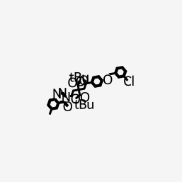 Cc1ccc2nnn(CCC(CC(=O)c3ccc(OCc4cccc(Cl)c4)cc3)(C(=O)OC(C)(C)C)C(=O)OC(C)(C)C)c(=O)c2c1